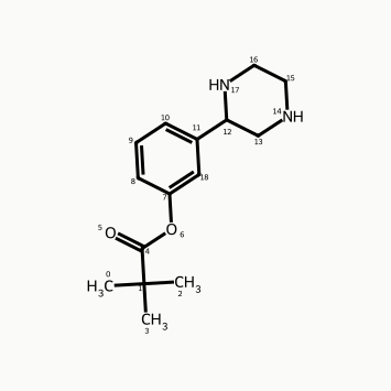 CC(C)(C)C(=O)Oc1cccc(C2CNCCN2)c1